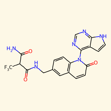 NC(=O)C(C(=O)NCc1ccc2c(ccc(=O)n2-c2ncnc3[nH]ccc23)c1)C(F)(F)F